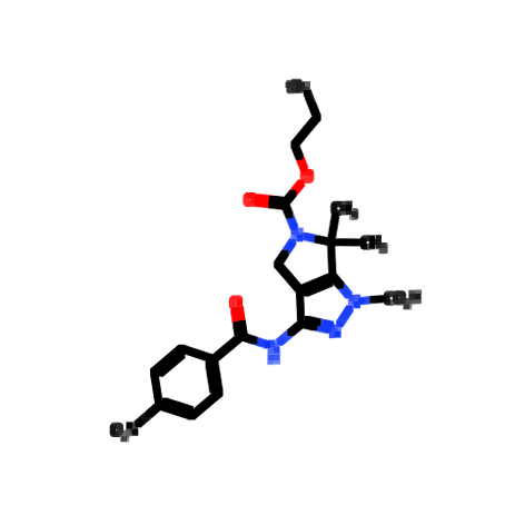 CC(C)(C)CCOC(=O)N1Cc2c(NC(=O)c3ccc([N+](=O)[O-])cc3)nn(C(=O)O)c2C1(C)C